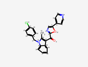 O=C(c1ncc(-c2ccncc2)o1)c1c(C(F)(F)F)n(Cc2ccc(Cl)cc2)c2ccccc12